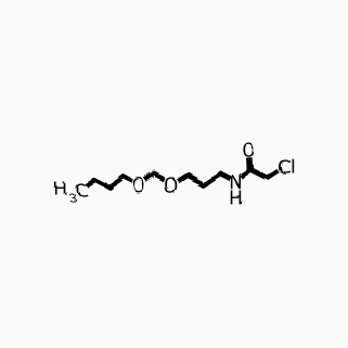 CCCCOCOCCCNC(=O)CCl